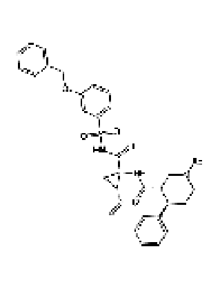 C=C[C@@H]1C[C@]1(NC(=O)[C@@H]1CN(C(C)=O)CC[C@H]1c1ccccc1)C(=O)NS(=O)(=O)c1cccc(OCc2ccccc2)c1